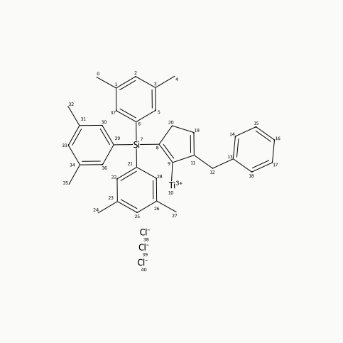 Cc1cc(C)cc([Si](C2=[C]([Ti+3])C(Cc3ccccc3)=CC2)(c2cc(C)cc(C)c2)c2cc(C)cc(C)c2)c1.[Cl-].[Cl-].[Cl-]